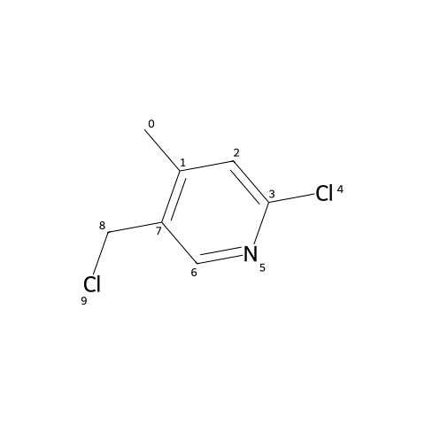 Cc1cc(Cl)ncc1CCl